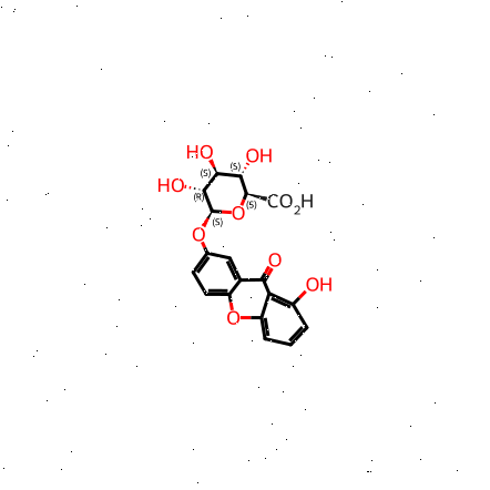 O=C(O)[C@H]1O[C@@H](Oc2ccc3oc4cccc(O)c4c(=O)c3c2)[C@H](O)[C@@H](O)[C@@H]1O